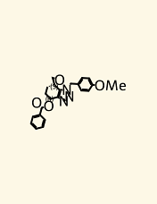 COc1ccc(Cn2nnc3c2[C@@]2(CC[C@H]3OC(=O)c3ccccc3)CO2)cc1